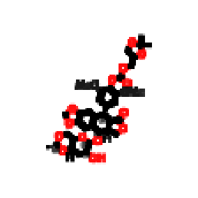 COc1cc([C@@H]2c3cc4c(cc3[C@@H](O[C@@H]3OC5CO[C@@H](C)O[C@H]5C[C@H]3O)[C@H]3COC(=O)C23)OCO4)cc(OC)c1OC(=O)OCC1COC(C)(C)O1